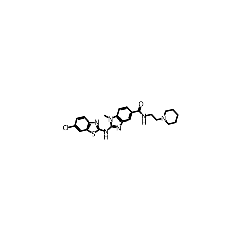 Cn1c(Nc2nc3ccc(Cl)cc3s2)nc2cc(C(=O)NCCN3CCCCC3)ccc21